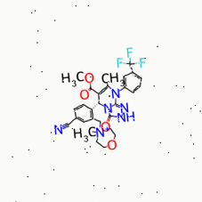 COC(=O)C1=C(C)N(c2cccc(C(F)(F)F)c2)c2n[nH]c(=O)n2[C@@H]1c1ccc(C#N)cc1C[N+]1(C)CCOCC1